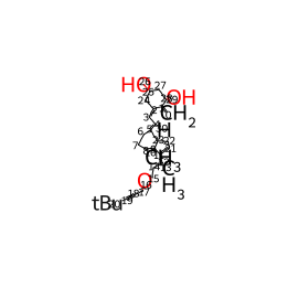 C=C1/C(=C\C=C2/CCC[C@]3(C)C([C@H](C)CCOCC#CC(C)(C)C)=CC[C@@H]23)C[C@@H](O)C[C@@H]1O